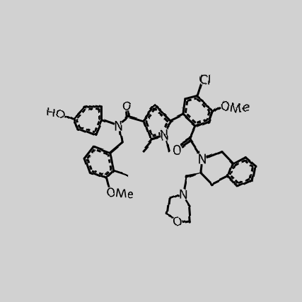 COc1cc(C(=O)N2Cc3ccccc3C[C@H]2CN2CCOCC2)c(-c2cc(C(=O)N(Cc3cccc(OC)c3C)c3ccc(O)cc3)c(C)n2C)cc1Cl